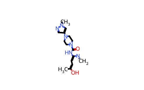 C=N/C(=C\C=C(/C)O)NC(=O)N1CCN(c2cnn(C)c2)CC1